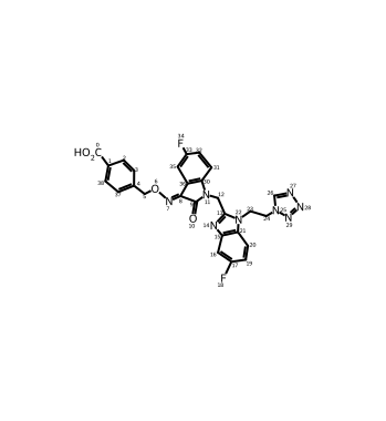 O=C(O)c1ccc(CO/N=C2/C(=O)N(Cc3nc4cc(F)ccc4n3CCn3cnnn3)c3ccc(F)cc32)cc1